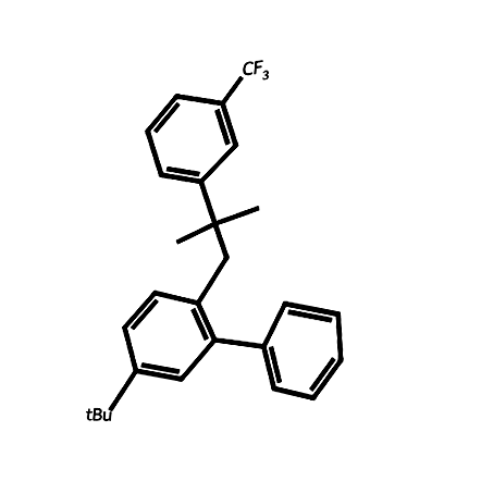 CC(C)(C)c1ccc(CC(C)(C)c2cccc(C(F)(F)F)c2)c(-c2ccccc2)c1